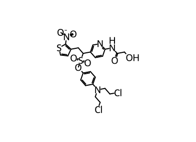 O=C(CO)Nc1ccc(C(Cc2ccsc2[N+](=O)[O-])S(=O)(=O)Oc2ccc(N(CCCl)CCCl)cc2)cn1